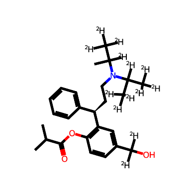 [2H]C([2H])(O)c1ccc(OC(=O)C(C)C)c([C@H](CCN(C([2H])(C)C([2H])([2H])[2H])C([2H])(C([2H])([2H])[2H])C([2H])([2H])[2H])c2ccccc2)c1